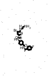 C[C@@H](NC(=O)C1CCC(NS(=O)(=O)c2cnc(NCCN)c(Br)c2)CC1)c1ccc(F)cc1